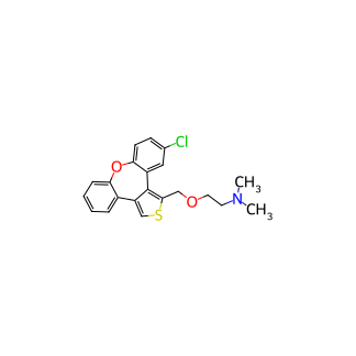 CN(C)CCOCc1scc2c1-c1cc(Cl)ccc1Oc1ccccc1-2